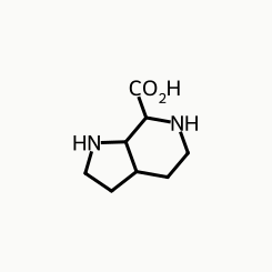 O=C(O)C1NCCC2CCNC21